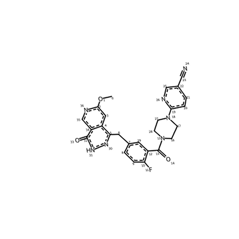 COc1cc2c(Cc3ccc(F)c(C(=O)N4CCN(c5ccc(C#N)cn5)CC4)c3)n[nH]c(=O)c2cn1